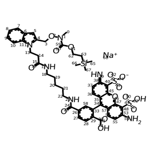 CN(OCc1cc2ccccc2n1CCC(=O)NCCCCCNC(=O)c1ccc(C(=O)O)c(-c2c3ccc(=N)c(S(=O)(=O)[O-])c-3oc3c(S(=O)(=O)O)c(N)ccc23)c1)C(=O)OCC[Si](C)(C)C.[Na+]